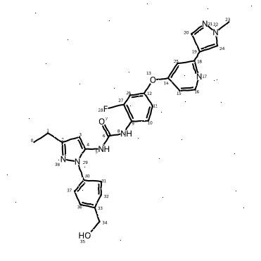 CCc1cc(NC(=O)Nc2ccc(Oc3ccnc(-c4cnn(C)c4)c3)cc2F)n(-c2ccc(CO)cc2)n1